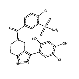 NS(=O)(=O)c1cc(C(=O)N2CCc3[nH]nc(-c4cc(Cl)c(O)cc4O)c3C2)ccc1Cl